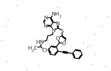 CC(C)NCCCn1c(SC2=COC(c3ccccc3C#Cc3ccccc3)O2)nc2c(N)ncnc21